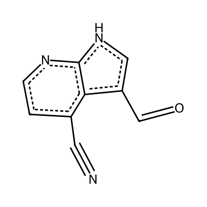 N#Cc1ccnc2[nH]cc(C=O)c12